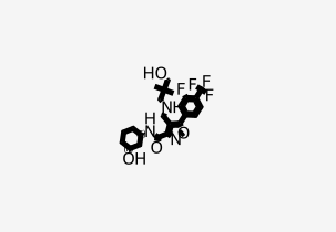 CC(C)(CO)CNCc1c(C(=O)N[C@H]2CCC[C@@H](O)C2)noc1-c1ccc(C(F)(F)F)c(F)c1